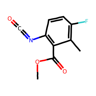 COC(=O)c1c(N=C=O)ccc(F)c1C